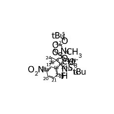 CN(C(=O)OC(C)(C)C)S(=O)(=O)C1([C@](C)(N[S@+]([O-])C(C)(C)C)c2cc([N+](=O)[O-])ccc2F)CC1